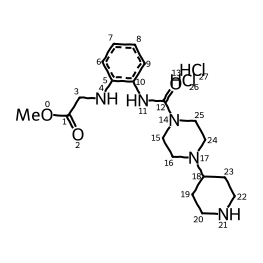 COC(=O)CNc1ccccc1NC(=O)N1CCN(C2CCNCC2)CC1.Cl.Cl